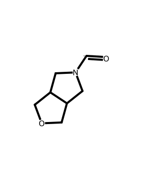 O=[C]N1CC2COCC2C1